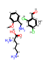 COc1ccccc1CN.NCCC[C@H](N)C(=O)O.O=Cc1ccc(Cl)cc1Cl.[H+]